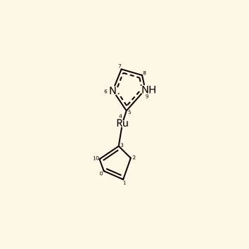 C1=CC[C]([Ru][c]2ncc[nH]2)=C1